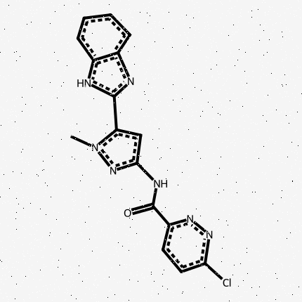 Cn1nc(NC(=O)c2ccc(Cl)nn2)cc1-c1nc2ccccc2[nH]1